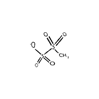 CS(=O)(=O)S([O])(=O)=O